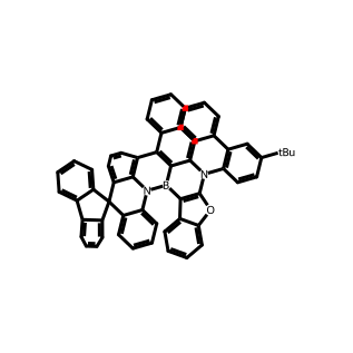 CC(C)(C)c1ccc(N2c3cc4ccccc4c4c3B(c3c2oc2ccccc32)N2c3ccccc3C3(c5ccccc5-c5ccccc53)c3cccc-4c32)c(-c2ccccc2)c1